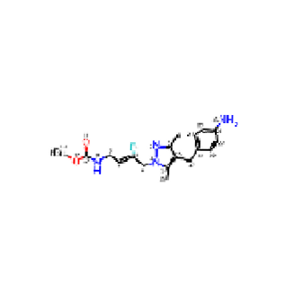 Cc1nn(C/C(F)=C/CNC(=O)OC(C)(C)C)c(C)c1Cc1ccc(N)cc1